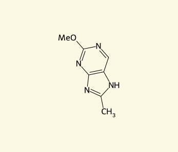 COc1ncc2[nH]c(C)nc2n1